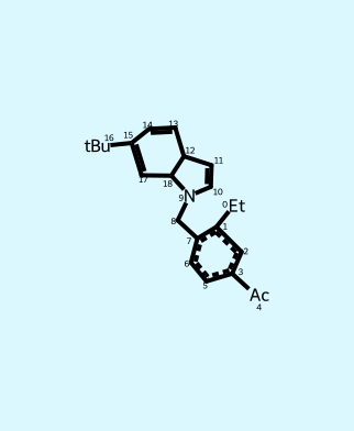 CCc1cc(C(C)=O)ccc1CN1C=CC2C=CC(C(C)(C)C)=CC21